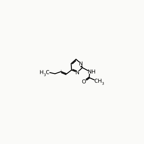 CC[C]=Cc1ccnc(NC(C)=O)n1